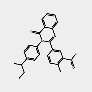 CCC(C)c1ccc(-n2c(-c3ccc(C)c([N+](=O)[O-])c3)nc3ccccc3c2=O)cc1